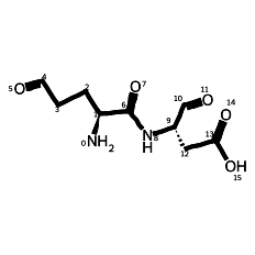 N[C@@H](CCC=O)C(=O)N[C@H](C=O)CC(=O)O